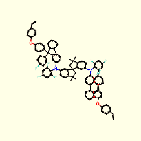 C=Cc1ccc(Oc2ccc(Cc3cc(N(c4ccc5c(c4)C4(CC5(C)C)CC(C)(C)c5ccc(N(c6ccc7c(c6)C(c6ccc(F)cc6)(c6ccc(Oc8ccc(C=C)cc8)cc6)c6ccccc6-7)c6c(F)cc(F)cc6F)cc54)c4c(F)cc(F)cc4F)ccc3-c3ccccc3Cc3ccc(F)cc3)cc2)cc1